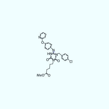 COC(=O)CCCCn1c(=O)[nH]/c(=N\c2ccc(Oc3ccccn3)cc2)n(Cc2ccc(Cl)cc2)c1=O